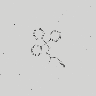 CC(CC#N)=NO[Si](c1ccccc1)(c1ccccc1)c1ccccc1